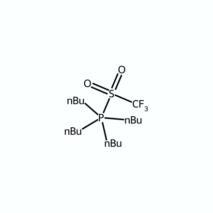 CCCCP(CCCC)(CCCC)(CCCC)S(=O)(=O)C(F)(F)F